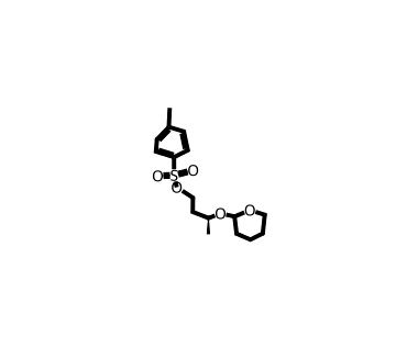 Cc1ccc(S(=O)(=O)OCC[C@H](C)OC2CCCCO2)cc1